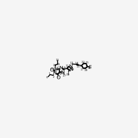 CCCn1c(=O)c2c(nc(-c3cn(CC#Cc4ccc(F)cc4)nc3I)n2C)n(CCC)c1=O